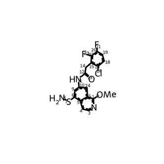 COc1nccc2c(SN)cc(NC(=O)Cc3c(Cl)ccc(F)c3F)cc12